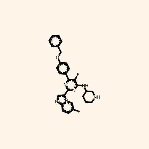 Fc1ccc2ncc(-c3nc(NC4CCCNC4)c(F)c(-c4ccc(OCc5ccccc5)cc4)n3)n2c1